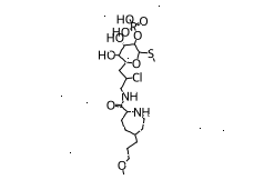 COCCCC1CCNC(C(=O)NCC(Cl)CC2OC(SC)C(OP(=O)(O)O)C(O)C2O)CC1